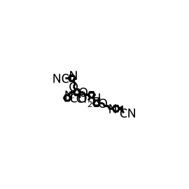 Cc1c(COc2cc(OCc3cncc(C#N)c3)c(CN3CCCC[C@H]3C(=O)O)cc2Cl)cccc1-c1cccc(OCCCN2CCC3(CC2)CC3C#N)c1C